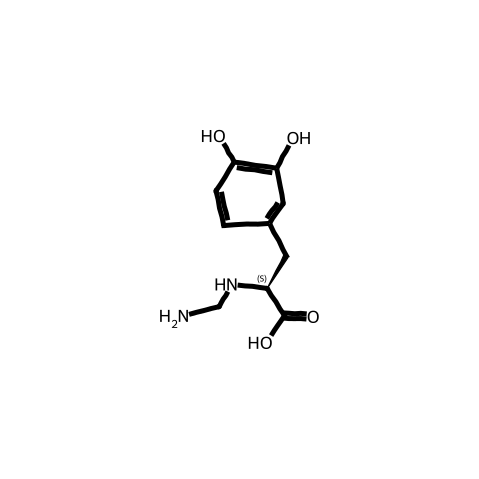 NCN[C@@H](Cc1ccc(O)c(O)c1)C(=O)O